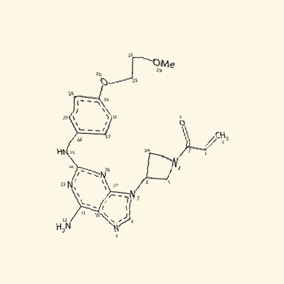 C=CC(=O)N1CC(n2cnc3c(N)nc(Nc4ccc(OCCOC)cc4)nc32)C1